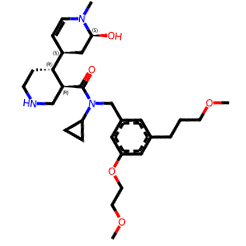 COCCCc1cc(CN(C(=O)[C@H]2CNCC[C@@H]2[C@H]2C=CN(C)[C@@H](O)C2)C2CC2)cc(OCCOC)c1